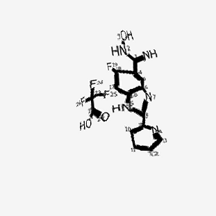 N=C(NO)c1cc2nc(-c3ccccn3)[nH]c2cc1F.O=C(O)C(F)(F)F